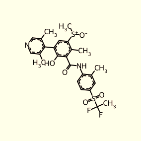 Cc1cc(S(=O)(=O)C(C)(F)F)ccc1NC(=O)c1c(C)c([S+](C)[O-])cc(-c2c(C)cncc2C)c1O